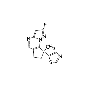 CC1(c2cncs2)CCc2cnc3cc(F)nn3c21